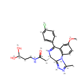 COc1ccc2c(c1)C(c1ccc(Cl)cc1)=N[C@@H](CC(=O)NCCB(O)O)c1nnc(C)n1-2